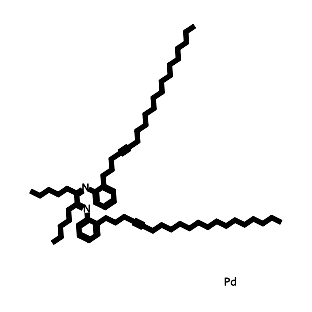 CCCCCCCCCCCCCCCC#CCCCc1ccccc1N=C(CCCCC)C(CCCCC)=Nc1ccccc1CCCC#CCCCCCCCCCCCCCCC.[Pd]